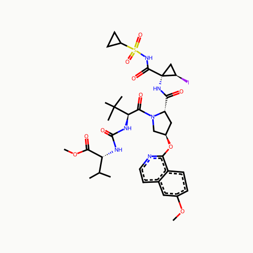 COC(=O)[C@H](NC(=O)N[C@H](C(=O)N1C[C@H](Oc2nccc3cc(OC)ccc23)C[C@H]1C(=O)N[C@]1(C(=O)NS(=O)(=O)C2CC2)C[C@H]1I)C(C)(C)C)C(C)C